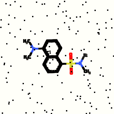 CCN(C)S(=O)(=O)c1cccc2c(N(C)C)cccc12